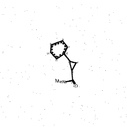 [CH]NC(=O)C1CC1c1ccccc1